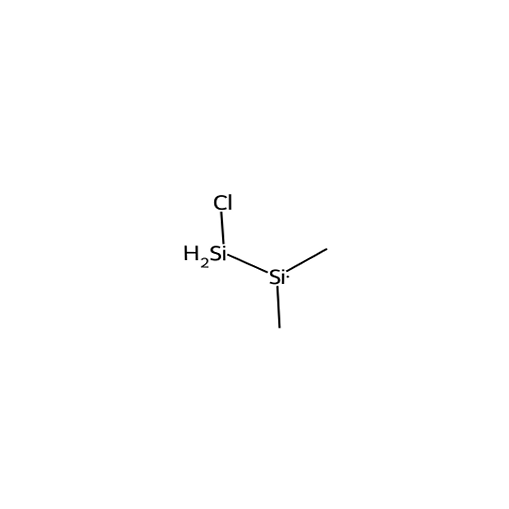 C[Si](C)[SiH2]Cl